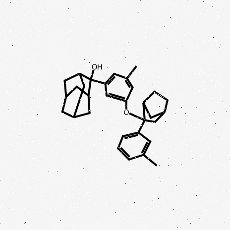 Cc1cccc(C2(Oc3cc(C)cc(C4(O)C5CC6CC(C5)CC4C6)c3)CC3CCC2C3)c1